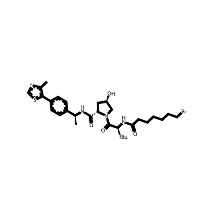 Cc1ncsc1-c1ccc([C@H](C)NC(=O)[C@@H]2C[C@@H](O)CN2C(=O)[C@@H](NC(=O)CCCCCCBr)C(C)(C)C)cc1